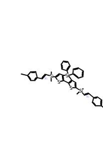 Cc1ccc(/C=C/[Si](C)(C)c2cc3c(s2)-c2sc([Si](C)(C)/C=C/c4ccc(C)cc4)cc2[Si]3(c2ccccc2)c2ccccc2)cc1